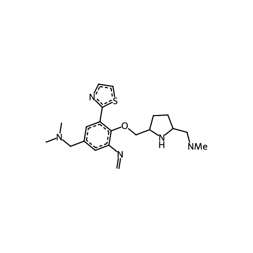 C=Nc1cc(CN(C)C)cc(-c2nccs2)c1OCC1CCC(CNC)N1